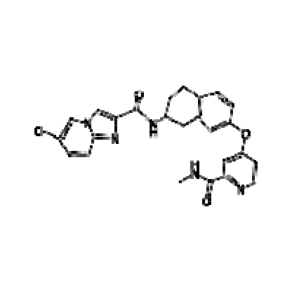 CNC(=O)c1cc(Oc2ccc3c(c2)CC(NC(=O)c2cn4cc(Cl)ccc4n2)CC3)ccn1